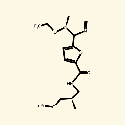 C=NC(c1ccc(C(=O)NC[C@@H](C)COCCC)s1)N(C)OCC(F)(F)F